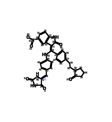 O=C1NC(=O)/C(=C/c2ccc(NC(=C3C(=O)Nc4ccc([N+](=O)[O-])cc43)c3ccc(CCN4CCCC4=O)cc3)cc2)N1